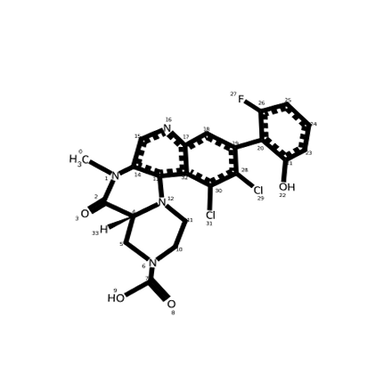 CN1C(=O)[C@H]2CN(C(=O)O)CCN2c2c1cnc1cc(-c3c(O)cccc3F)c(Cl)c(Cl)c21